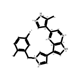 Cc1ccc(F)cc1Cn1cc(-c2c[nH]c3ncc(-c4cn[nH]c4C)nc23)cn1